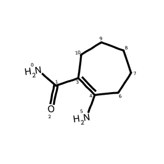 NC(=O)C1=C(N)CCCCC1